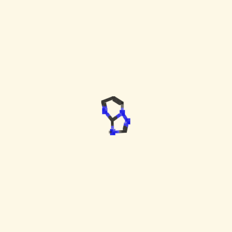 C1=CN2N=C[N]C2N=C1